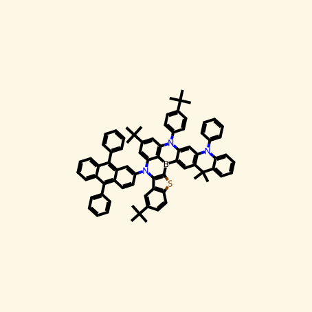 CC(C)(C)c1ccc(N2c3cc4c(cc3B3c5sc6ccc(C(C)(C)C)cc6c5N(c5ccc6c(-c7ccccc7)c7ccccc7c(-c7ccccc7)c6c5)c5cc(C(C)(C)C)cc2c53)C(C)(C)c2ccccc2N4c2ccccc2)cc1